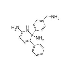 NCc1ccc(C2(N)NC(N)=NN=C2c2ccccc2)cc1